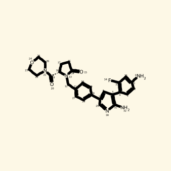 Nc1ccc(-c2cc(-c3ccc(CN4C(=O)CC[C@H]4C(=O)N4CCOCC4)cc3)cnc2N)c(F)c1